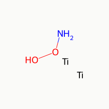 NOO.[Ti].[Ti]